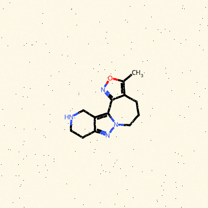 Cc1onc2c1CCCn1nc3c(c1-2)CNCC3